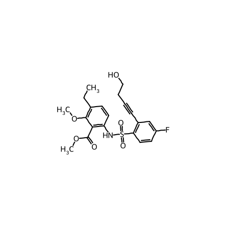 CCc1ccc(NS(=O)(=O)c2ccc(F)cc2C#CCCO)c(C(=O)OC)c1OC